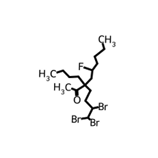 CCCCC(F)CC(CCCC)(CCC(Br)C(Br)Br)C(C)=O